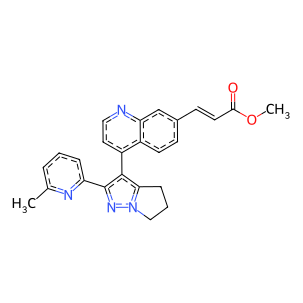 COC(=O)C=Cc1ccc2c(-c3c(-c4cccc(C)n4)nn4c3CCC4)ccnc2c1